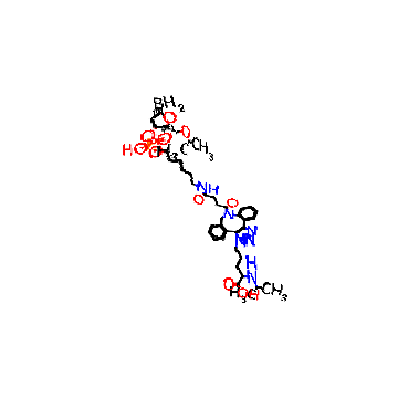 B[C@H]1CC(OP(=O)(O)OCCCCCCNC(=O)CCC(=O)N2Cc3ccccc3-c3c(nnn3CCCC(NC(C)C)C(=O)O)-c3ccccc32)[C@@H](COC(C)C)O1